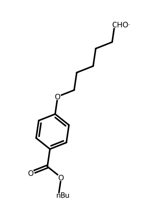 CCCCOC(=O)c1ccc(OCCCCC[C]=O)cc1